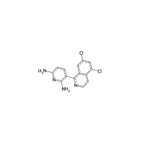 Nc1ccc(-c2nccc3c(Cl)cc(Cl)cc23)c(N)n1